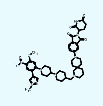 COc1cc(N2CCC(N3CCC(CN4CCCC5(CCN(c6ccc7c(c6)C(=O)N(C6CCC(=O)NC6=O)C7=O)CC5)C4)CC3)CC2)c(-c2cnn(C)c2)cc1[N+](=O)[O-]